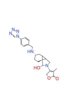 CC1=C(N2CC3C4C[C@@H](NCc5ccc(-n6cnnn6)cc5)CC[C@@]43C2O)COC1=O